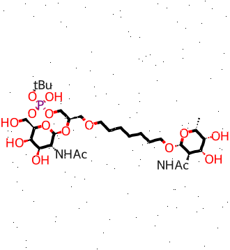 CC(=O)N[C@H]1[C@H](OCCCCCCCOC[C@H](COP(=O)(O)OC(C)(C)C)O[C@@H]2O[C@H](CO)[C@H](O)[C@H](O)[C@H]2NC(C)=O)O[C@H](C)[C@H](O)[C@@H]1O